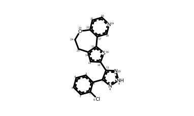 Clc1ccccc1-c1n[nH]nc1-c1cc2c(s1)-c1cnccc1OCC2